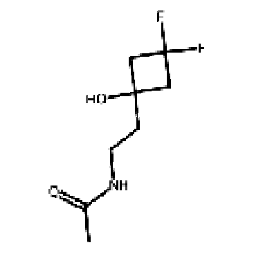 CC(=O)NCCC1(O)CC(F)(F)C1